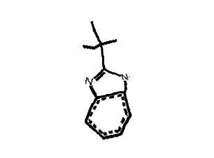 CC(C)(C)C1=Nc2ccccc2[N]1